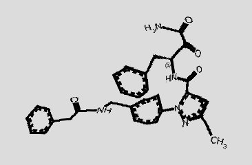 Cc1cc(C(=O)N[C@@H](Cc2ccccc2)C(=O)C(N)=O)n(-c2ccc(CNC(=O)Cc3ccccc3)cc2)n1